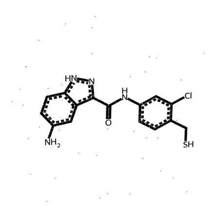 Nc1ccc2[nH]nc(C(=O)Nc3ccc(CS)c(Cl)c3)c2c1